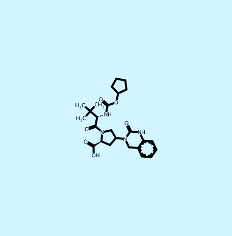 CC(C)(C)[C@H](NC(=O)OC1CCCC1)C(=O)N1CC(N2Cc3ccccc3NC2=O)C[C@H]1C(=O)O